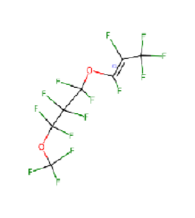 F/C(OC(F)(F)C(F)(F)C(F)(F)OC(F)(F)F)=C(/F)C(F)(F)F